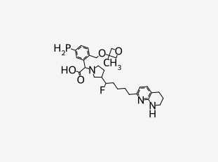 CC1(OCc2ccc(P)cc2C(C(=O)O)N2CCC(C(F)CCCCc3ccc4c(n3)NCCC4)C2)COC1